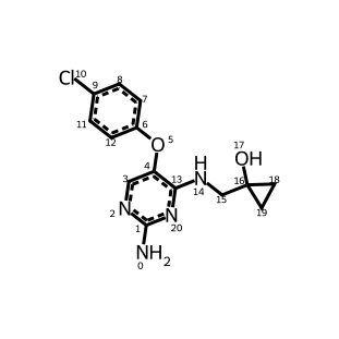 Nc1ncc(Oc2ccc(Cl)cc2)c(NCC2(O)CC2)n1